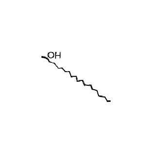 C=C(O)CCCCCCCCCCCCCCCCCC